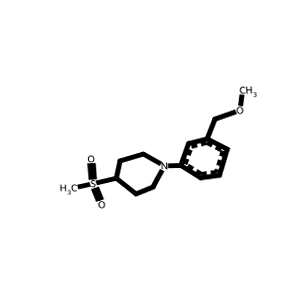 COCc1cccc(N2CCC(S(C)(=O)=O)CC2)c1